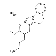 COC(=O)C(CCCN)Cc1ncn2c1CCc1ccccc1-2.Cl.Cl